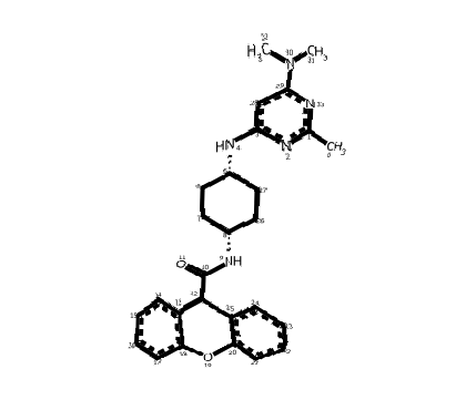 Cc1nc(N[C@H]2CC[C@@H](NC(=O)C3c4ccccc4Oc4ccccc43)CC2)cc(N(C)C)n1